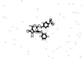 C[C@@H](OC(=O)OCc1ccc([N+](=O)[O-])cc1)[C@H]1C(=O)N[C@@H]1C#CSc1ccccc1